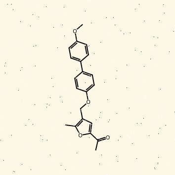 COc1ccc(-c2ccc(OCc3cc(C(C)=O)oc3C)cc2)cc1